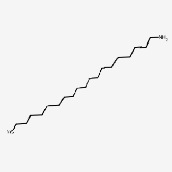 NCCCCCCCCCCCCCCCCCCCS